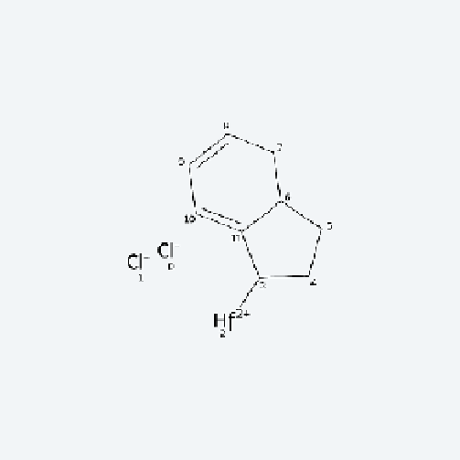 [Cl-].[Cl-].[Hf+2][CH]1CCC2CC=CC=C12